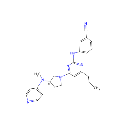 CCCc1cc(N2CC[C@H](N(C)c3ccncc3)C2)nc(Nc2cccc(C#N)c2)n1